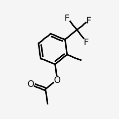 CC(=O)Oc1cccc(C(F)(F)F)c1C